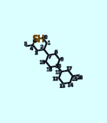 CCC(CC(C)S)C1CCC(C2CCCC(C)C2)CC1